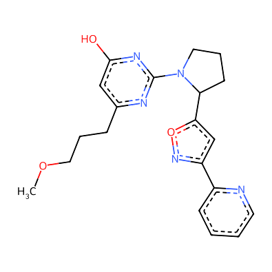 COCCCc1cc(O)nc(N2CCCC2c2cc(-c3ccccn3)no2)n1